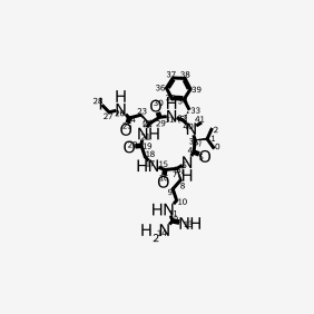 CC(C)[C@H]1C(=O)N[C@@H](CCCNC(=N)N)C(=O)NCC(=O)N[C@@H](CC(=O)NCI)C(=O)N[C@H](Cc2ccccc2)N1C